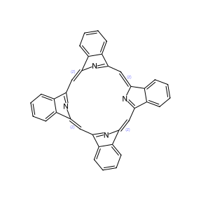 C1=C2N=C(/C=C3N=C(/C=C4N=C(/C=C5N=C/1c1ccccc1\5)c1ccccc1\4)c1ccccc1\3)c1ccccc1\2